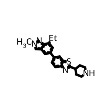 CCc1cc(-c2ccc3nc(C4CCNCC4)sc3c2)cc2cn(C)nc12